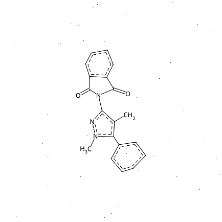 Cc1c(N2C(=O)c3ccccc3C2=O)nn(C)c1-c1ccccc1